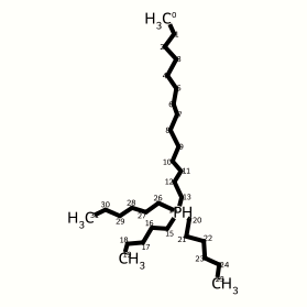 CCCCCCCCCCCCCC[PH](CCCCC)(CCCCCC)CCCCCC